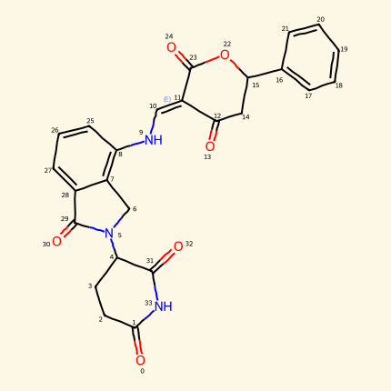 O=C1CCC(N2Cc3c(N/C=C4\C(=O)CC(c5ccccc5)OC4=O)cccc3C2=O)C(=O)N1